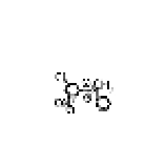 CN(c1ccccc1)S(=O)(=O)c1cc(Cl)cc([N+](=O)[O-])c1